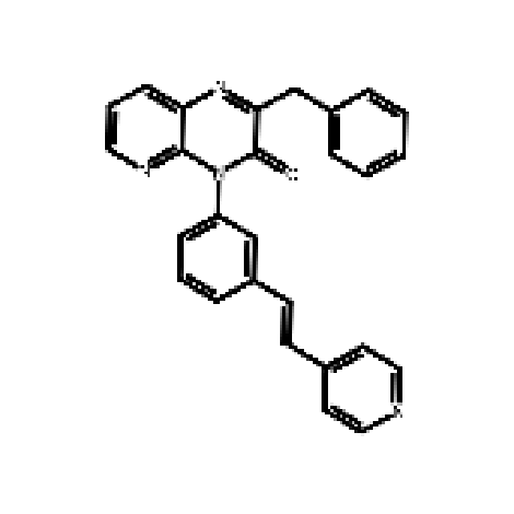 O=c1c(Cc2ccccc2)nc2cccnc2n1-c1cccc(C=Cc2ccncc2)c1